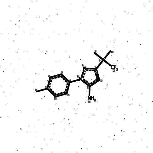 Cc1ccc(-n2nc(C(C)(C)C(F)(F)F)cc2N)cc1